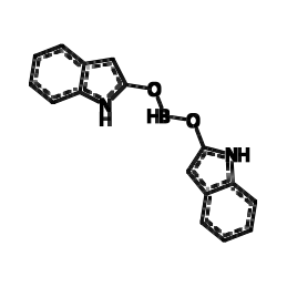 B(Oc1cc2ccccc2[nH]1)Oc1cc2ccccc2[nH]1